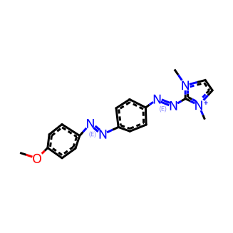 COc1ccc(/N=N/c2ccc(/N=N/c3n(C)cc[n+]3C)cc2)cc1